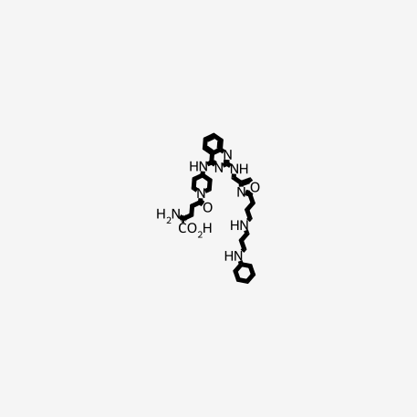 N[C@@H](CCC(=O)N1CCC(Nc2nc(NCc3coc(CCCNCCCNC4CCCCC4)n3)nc3ccccc23)CC1)C(=O)O